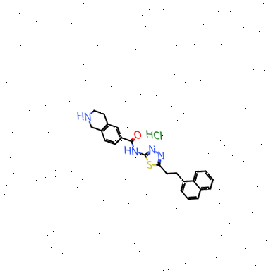 Cl.O=C(Nc1nnc(CCc2cccc3ccccc23)s1)c1ccc2c(c1)CCNC2